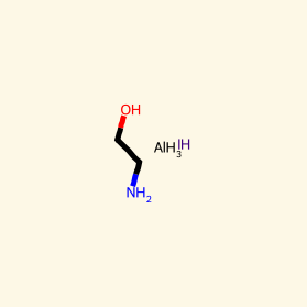 I.NCCO.[AlH3]